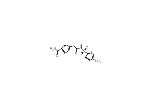 Cc1ccc(S(=O)(=O)NC(=O)Cc2ccc(C(N)=O)cc2)nc1